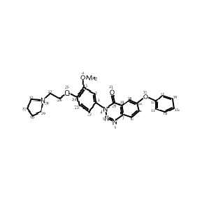 COc1cc(-n2nnc3ccc(Oc4ccccc4)cc3c2=O)ccc1OCCN1CCCC1